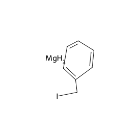 ICc1ccccc1.[MgH2]